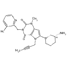 CC#CCn1c(N2CCC[C@@H](N)C2)cc2c1c(=O)n(Cc1ncccc1C#N)c(=O)n2C